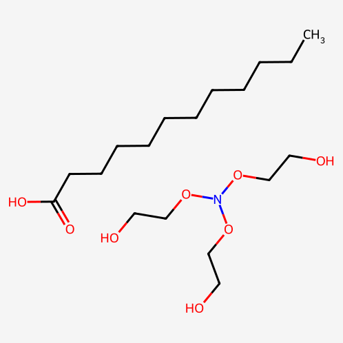 CCCCCCCCCCCC(=O)O.OCCON(OCCO)OCCO